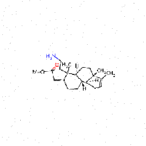 COC(=O)C[C@@H]1CC[C@@H]2[C@H](CC[C@]3(C)C(C)=CC[C@@H]23)[C@@]1(C)CCN